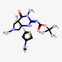 [C-]#[N+]c1csc([C@]23CN(C)C[C@H]2C(=O)N(C)/C(=N/C(=O)OC(C)(C)C)N3)c1